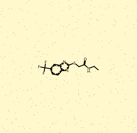 CCNC(=O)CSc1nc2cc(C(F)(F)F)ccc2s1